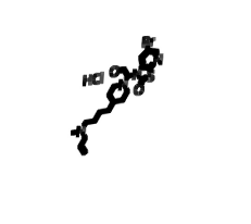 C=CCN(C)CCCCC1CCN(C(C=O)n2c(=O)sc3ncc(Br)cc32)CC1.Cl